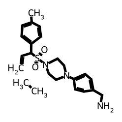 C=CC(c1ccc(C)cc1)S(=O)(=O)N1CCN(c2ccc(CN)cc2)CC1.CC